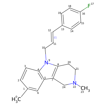 Cc1ccc2c(c1)c1c(n2C/C=C/c2ccc(F)cc2)CCN(C)C1